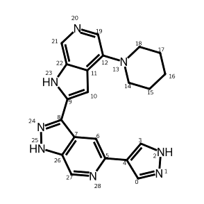 c1n[nH]cc1-c1cc2c(-c3cc4c(N5CCCCC5)cncc4[nH]3)n[nH]c2cn1